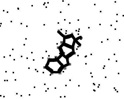 CC1=CC(C)(C)c2cc3c(cc21)-c1ccccc1C3